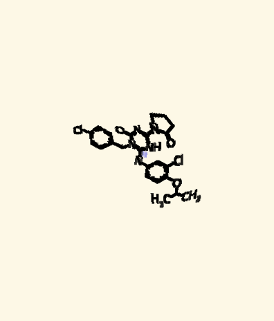 CC(C)Oc1ccc(/N=c2\[nH]c(N3CCCC3=O)nc(=O)n2Cc2ccc(Cl)cc2)cc1Cl